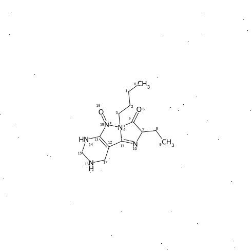 CCCC[N+]12C(=O)C(CC)N=C1C1=C(NCNC1)[N+]2=O